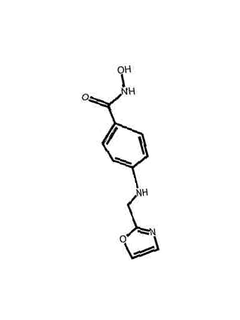 O=C(NO)c1ccc(NCc2ncco2)cc1